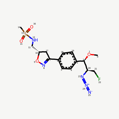 CO[C@H](c1ccc(C2=NO[C@H](CNS(C)(=O)=O)C2)cc1)[C@@H](CF)N=[N+]=[N-]